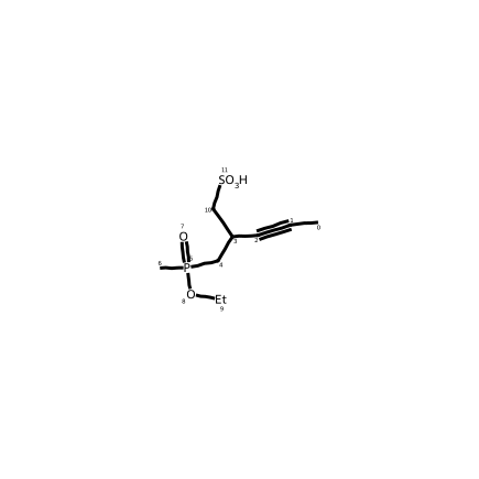 CC#CC(CP(C)(=O)OCC)CS(=O)(=O)O